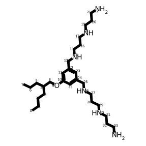 CCCCC(CCC)COc1cc(CNCCCNCCCN)cc(CNCCCNCCCN)c1